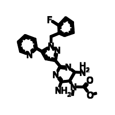 COC(=O)N(C)C1C(N)=NC(c2cc(-c3ccccn3)n(Cc3ccccc3F)n2)=NC1N